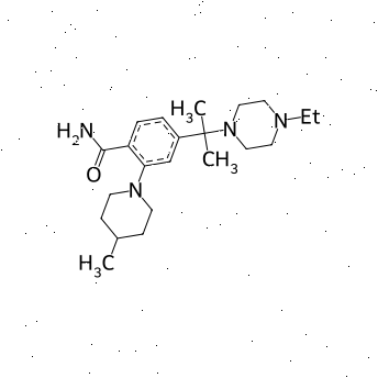 CCN1CCN(C(C)(C)c2ccc(C(N)=O)c(N3CCC(C)CC3)c2)CC1